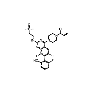 C=CC(=O)N1CCN(c2nc(NCCP(C)(C)=O)nc3c(F)c(-c4c(O)cccc4F)c(Cl)cc23)CC1